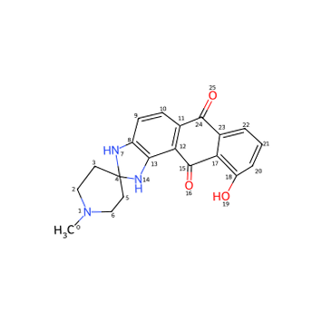 CN1CCC2(CC1)Nc1ccc3c(c1N2)C(=O)c1c(O)cccc1C3=O